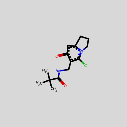 CC(C)(C)C(=O)NCc1c(Cl)n2c(cc1=O)CCC2